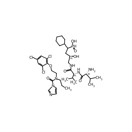 CC(C)[C@@H](N)C(=O)N[C@@H](C(=O)NC[C@H](O)CC(C1CCCCC1)[PH](=O)O)C(C)C.CCCN(CCOc1c(Cl)cc(Cl)cc1Cl)C(=O)n1ccnc1